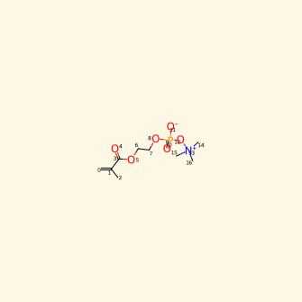 C=C(C)C(=O)OCCOP(=O)([O-])O[N+](C)(C)C